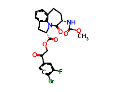 COC(=O)N[C@H]1CCc2cccc3c2N(C1=O)[C@H](C(=O)OCC(=O)c1ccc(Br)c(F)c1)C3